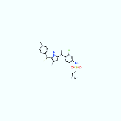 CC(=O)OCCS(=O)(=O)Nc1ccc(C(C)c2cc(C)c(C(=S)c3ccc(C)cc3)[nH]2)c(F)c1